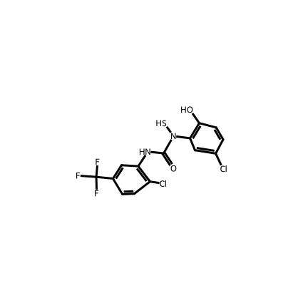 O=C(Nc1cc(C(F)(F)F)ccc1Cl)N(S)c1cc(Cl)ccc1O